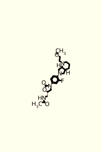 COCCN1CCC[C@H]2CN(c3ccc(N4C[C@H](CNC(C)=O)OC4=O)cc3F)C[C@H]21